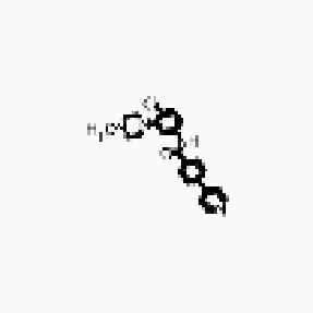 CN1CCN(c2cc(NC(=O)c3ccc(-c4ccncc4)cc3)ccc2Cl)CC1